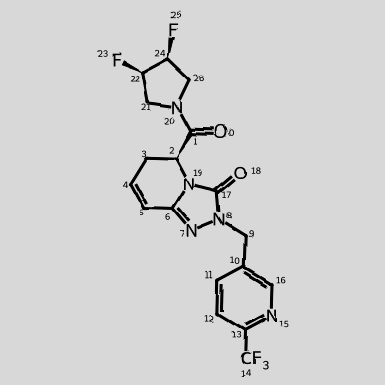 O=C([C@@H]1CC=Cc2nn(Cc3ccc(C(F)(F)F)nc3)c(=O)n21)N1C[C@@H](F)[C@@H](F)C1